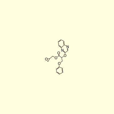 O=C(OCC1CO1)C(COc1ccccc1)Oc1cnc2ccccc2n1